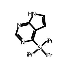 CC(C)[Si](c1ncnc2[nH]ccc12)(C(C)C)C(C)C